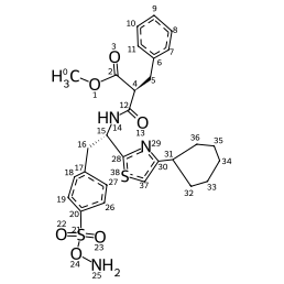 COC(=O)[C@@H](Cc1ccccc1)C(=O)N[C@@H](Cc1ccc(S(=O)(=O)ON)cc1)c1nc(C2CCCCC2)cs1